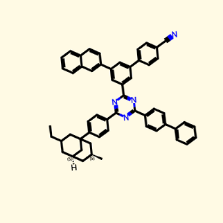 CCC1C[C@@H]2C[C@H](C)CC(c3ccc(-c4nc(-c5ccc(-c6ccccc6)cc5)nc(-c5cc(-c6ccc(C#N)cc6)cc(-c6ccc7ccccc7c6)c5)n4)cc3)(C1)C2